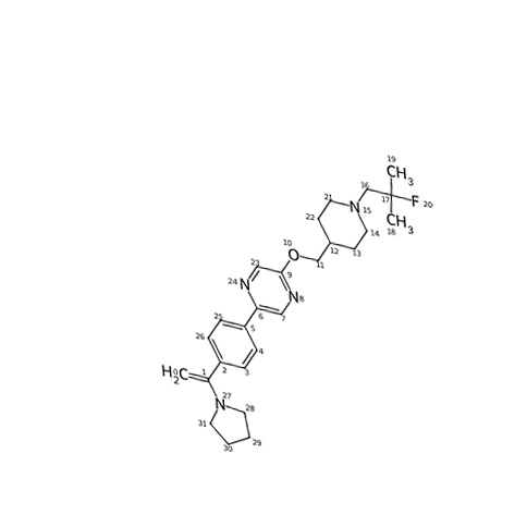 C=C(c1ccc(-c2cnc(OCC3CCN(CC(C)(C)F)CC3)cn2)cc1)N1CCCC1